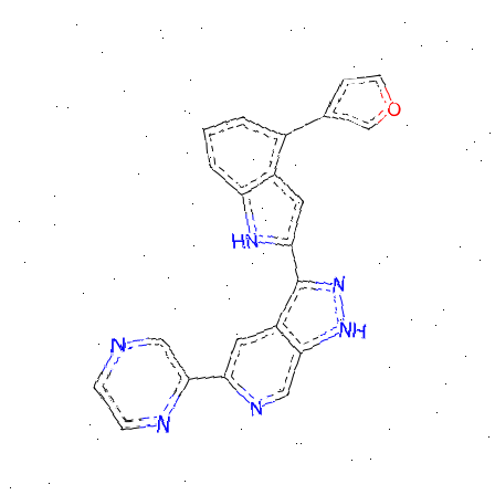 c1cc(-c2ccoc2)c2cc(-c3n[nH]c4cnc(-c5cnccn5)cc34)[nH]c2c1